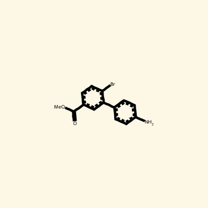 COC(=O)c1ccc(Br)c(-c2ccc(N)cc2)c1